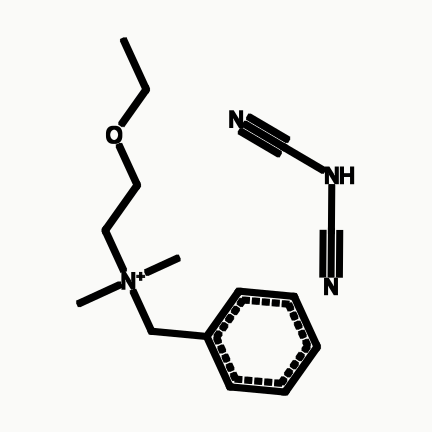 CCOCC[N+](C)(C)Cc1ccccc1.N#CNC#N